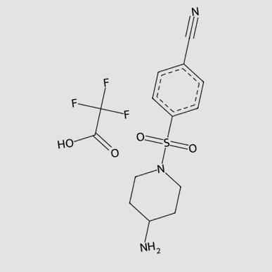 N#Cc1ccc(S(=O)(=O)N2CCC(N)CC2)cc1.O=C(O)C(F)(F)F